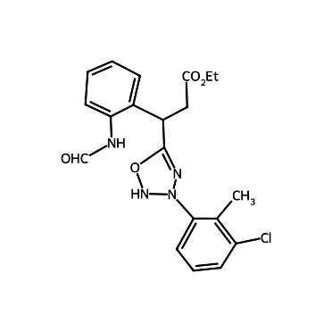 CCOC(=O)CC(C1=NN(c2cccc(Cl)c2C)NO1)c1ccccc1NC=O